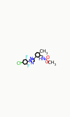 COC(=O)NCc1cc(-c2cnn(-c3c(F)cc(Cl)cc3F)n2)ccc1C